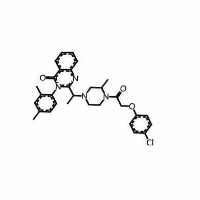 Cc1ccc(-n2c(C(C)N3CCN(C(=O)COc4ccc(Cl)cc4)C(C)C3)nc3ccccc3c2=O)c(C)c1